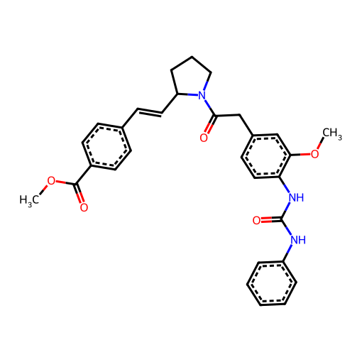 COC(=O)c1ccc(C=CC2CCCN2C(=O)Cc2ccc(NC(=O)Nc3ccccc3)c(OC)c2)cc1